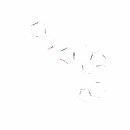 Cc1ccnc(NC(=O)c2ccc(-c3nn([C@@H]4CCCc5[nH]ncc54)c4ncnc(N)c34)cc2)c1